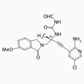 COc1ccc2c(c1)C(=O)N(C[C@@](C)(C#Cc1cc(Cl)cnc1N)NC(=O)NC=O)C2